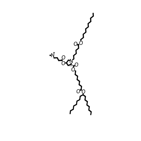 CCCCCCCCCCCOC(=O)CCCCCN1CC(OC(=O)CCCN(C)C)C[C@H]1C(=O)OCCCCCCCC(=O)OC(CCCCCCCC)CCCCCCCC